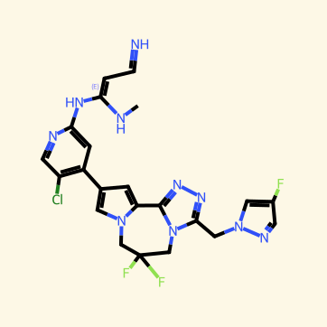 CN/C(=C\C=N)Nc1cc(-c2cc3n(c2)CC(F)(F)Cn2c(Cn4cc(F)cn4)nnc2-3)c(Cl)cn1